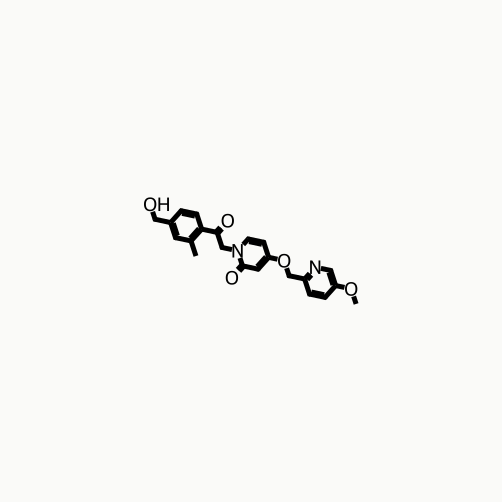 COc1ccc(COc2ccn(CC(=O)c3ccc(CO)cc3C)c(=O)c2)nc1